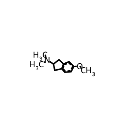 COc1ccc2c(c1)CC(N(C)C)C2